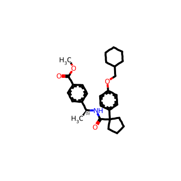 COC(=O)c1ccc([C@H](C)NC(=O)C2(c3ccc(OCC4CCCCC4)cc3)CCCC2)cc1